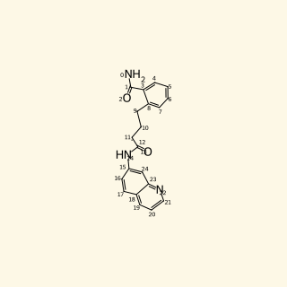 NC(=O)c1ccccc1CC[CH]C(=O)Nc1ccc2cccnc2c1